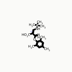 Cc1cc(C)c(OC(=N)/C(=C\NS(C)(C)C)C(=O)O)c(C)c1